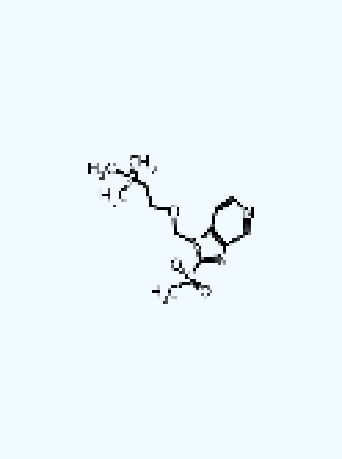 C[Si](C)(C)CCOCn1c(S(C)(=O)=O)nc2cnccc21